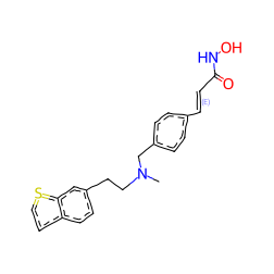 CN(CCc1ccc2ccsc2c1)Cc1ccc(/C=C/C(=O)NO)cc1